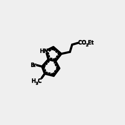 CCOC(=O)CCc1c[nH]c2c(Br)c(C)ccc12